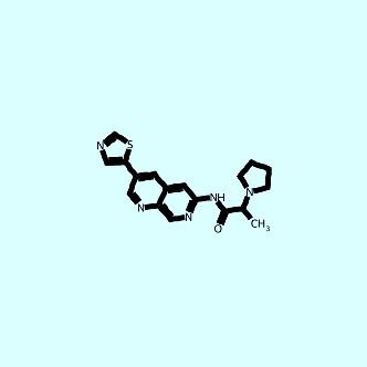 CC(C(=O)Nc1cc2cc(-c3cncs3)cnc2cn1)N1CCCC1